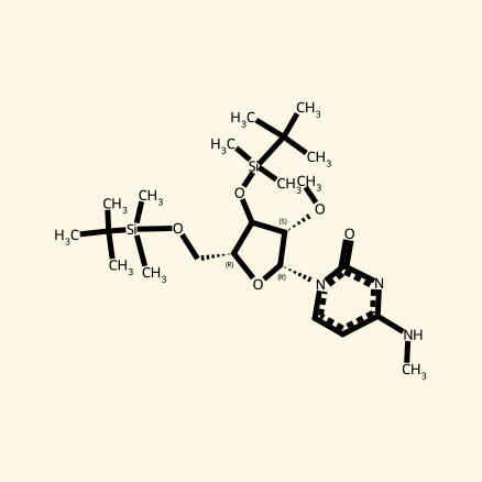 CNc1ccn([C@@H]2O[C@H](CO[Si](C)(C)C(C)(C)C)C(O[Si](C)(C)C(C)(C)C)[C@@H]2OC)c(=O)n1